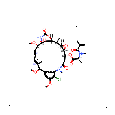 C=C(C)C(=O)N(C)[C@@H](C)C(=O)O[C@H]1CC(=O)N(C)c2cc(cc(OC)c2Cl)C(OC)/C(C)=C/C=C/[C@@H](OC)[C@@]2(O)C[C@H](OC(=O)N2)[C@@H](C)[C@@H]2O[C@@]12C